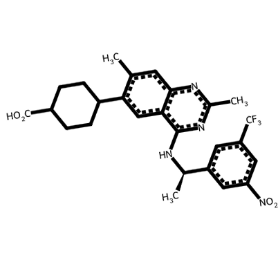 Cc1nc(N[C@H](C)c2cc([N+](=O)[O-])cc(C(F)(F)F)c2)c2cc(C3CCC(C(=O)O)CC3)c(C)cc2n1